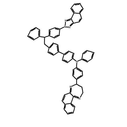 c1ccc(C(Cc2ccc(-c3ccc(N(c4ccccc4)c4ccc(C5CCN=c6c(ccc7ccccc67)=N5)cc4)cc3)cc2)c2ccc(-n3nc4ccc5ccccc5c4n3)cc2)cc1